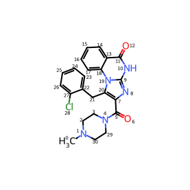 CN1CCN(C(=O)c2nc3[nH]c(=O)c4ccccc4n3c2Cc2ccccc2Cl)CC1